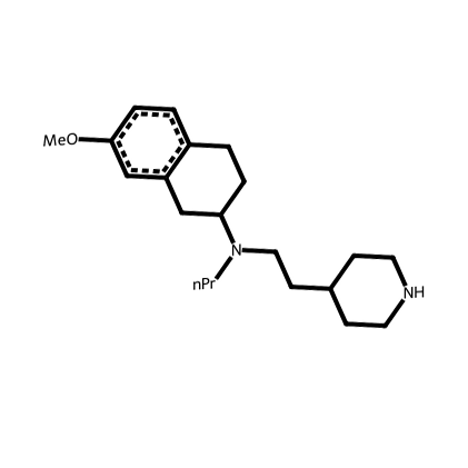 CCCN(CCC1CCNCC1)C1CCc2ccc(OC)cc2C1